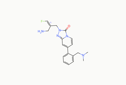 CN(C)Cc1ccccc1-c1ccn2c(=O)n(C/C(=C/F)CN)nc2c1